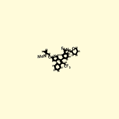 CNC1(COc2ccc(/C(=C(/CC(F)(F)F)c3ccccc3)c3ccc4c(c3)c(F)nn4C3CCCCO3)cn2)CC1